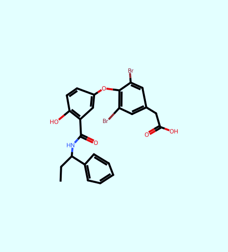 CCC(NC(=O)c1cc(Oc2c(Br)cc(CC(=O)O)cc2Br)ccc1O)c1ccccc1